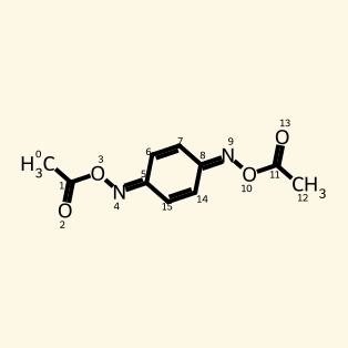 CC(=O)ON=C1C=CC(=NOC(C)=O)C=C1